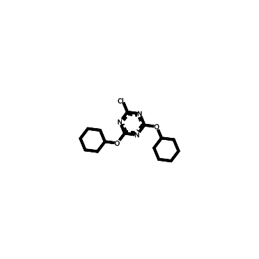 Clc1nc(OC2CCCCC2)nc(OC2CCCCC2)n1